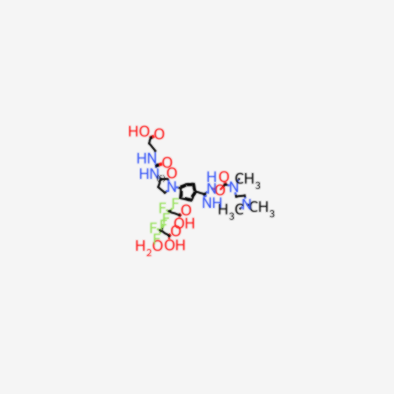 CN(C)CCN(C)C(=O)ONC(=N)c1ccc(N2CC[C@H](NC(=O)NCCC(=O)O)C2=O)cc1.O.O=C(O)C(F)(F)F.O=C(O)C(F)(F)F